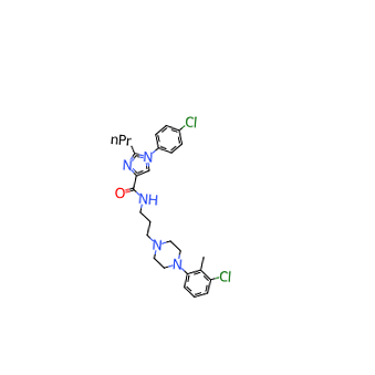 CCCc1nc(C(=O)NCCCN2CCN(c3cccc(Cl)c3C)CC2)cn1-c1ccc(Cl)cc1